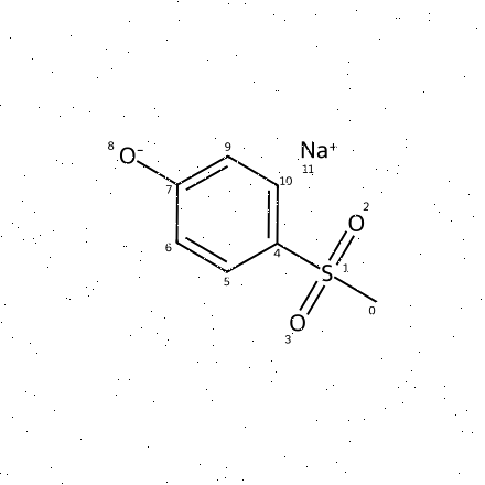 CS(=O)(=O)c1ccc([O-])cc1.[Na+]